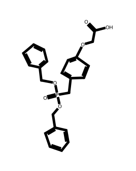 O=C(O)COc1ccc(CP(=O)(OCc2ccccc2)OCc2ccccc2)cc1